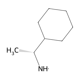 C[C@@H]([NH])C1CCCCC1